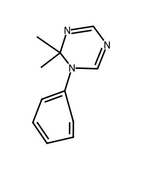 CC1(C)N=CN=CN1c1ccccc1